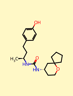 C[C@@H](CCc1ccc(O)cc1)NC(=O)N[C@H]1CCOC2(CCCC2)C1